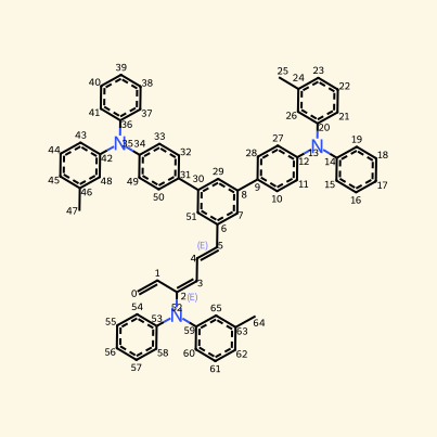 C=C/C(=C\C=C\c1cc(-c2ccc(N(c3ccccc3)c3cccc(C)c3)cc2)cc(-c2ccc(N(c3ccccc3)c3cccc(C)c3)cc2)c1)N(c1ccccc1)c1cccc(C)c1